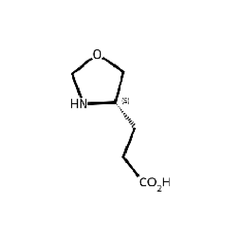 O=C(O)CC[C@H]1COCN1